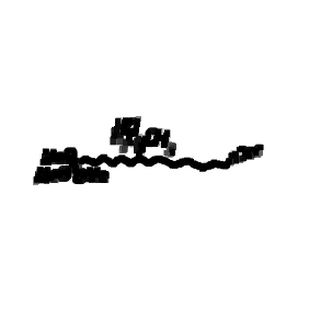 CCCCCCCCCCCCCCCCCC(CCCCCC[Si](OC)(OC)OC)N(C)C.Cl